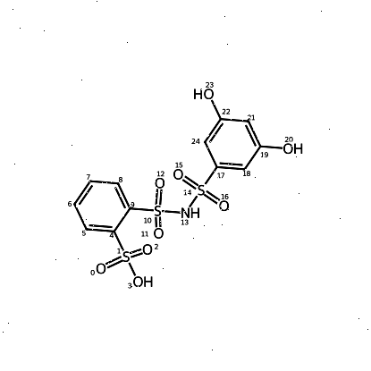 O=S(=O)(O)c1ccccc1S(=O)(=O)NS(=O)(=O)c1cc(O)cc(O)c1